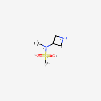 CCCS(=O)(=O)N(C)C1CNC1